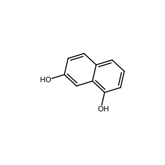 Oc1ccc2cccc(O)c2c1